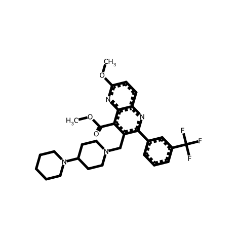 COC(=O)c1c(CN2CCC(N3CCCCC3)CC2)c(-c2cccc(C(F)(F)F)c2)nc2ccc(OC)nc12